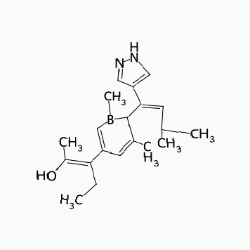 CC/C(C1=CB(C)C(/C(=C\C(C)C)c2cn[nH]c2)C(C)=C1)=C(/C)O